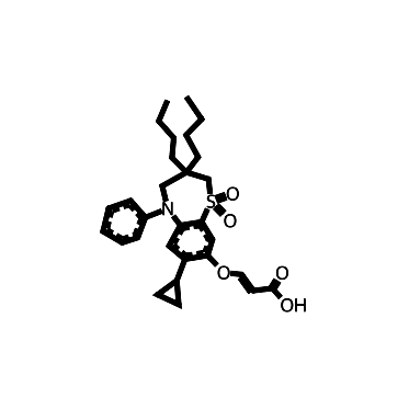 CCCCC1(CCCC)CN(c2ccccc2)c2cc(C3CC3)c(O/C=C/C(=O)O)cc2S(=O)(=O)C1